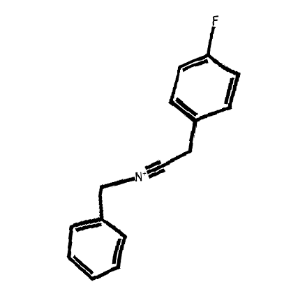 Fc1ccc(CC#[N+]Cc2ccccc2)cc1